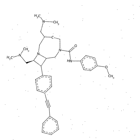 COc1ccc(NC(=O)N2CCC(CN(C)C)CN3C(C2)C(c2ccc(C#Cc4ccccc4)cc2)[C@H]3CN(C)C)cc1